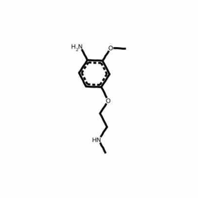 CNCCOc1ccc(N)c(OC)c1